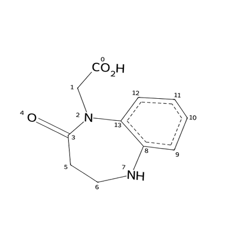 O=C(O)CN1C(=O)CCNc2ccccc21